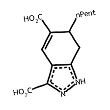 CCCCCC1Cc2[nH]nc(C(=O)O)c2C=C1C(=O)O